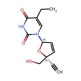 C#C[C@@]1(CO)C=C[C@H](n2cc(CC)c(=O)[nH]c2=O)O1